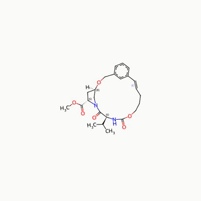 COC(=O)[C@@H]1C[C@@H]2CN1C(=O)[C@H](C(C)C)NC(=O)OCCC/C=C/c1cccc(c1)CO2